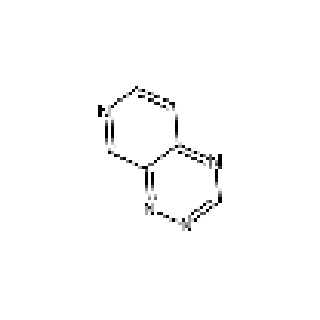 c1cc2ncnnc2cn1